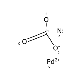 O=C([O-])[O-].[N].[Pd+2]